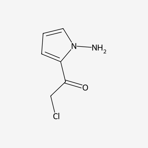 Nn1cccc1C(=O)CCl